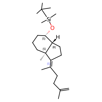 C=C(C)CC/C(C)=C1\CC[C@H]2[C@@H](O[Si](C)(C)C(C)(C)C)CCC[C@]12C